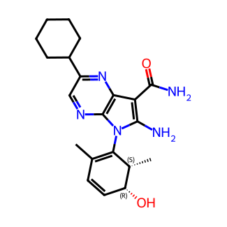 CC1=C(n2c(N)c(C(N)=O)c3nc(C4CCCCC4)cnc32)[C@H](C)[C@H](O)C=C1